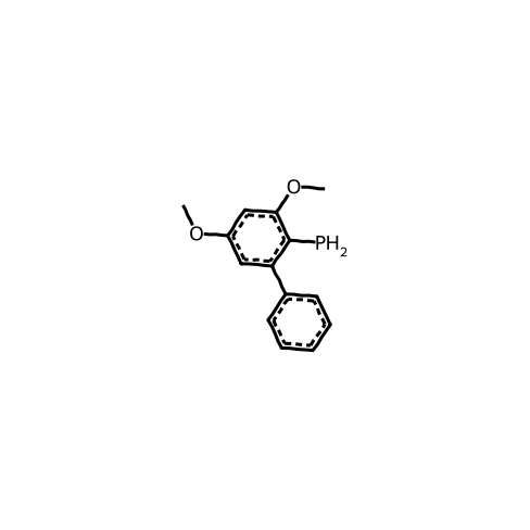 COc1cc(OC)c(P)c(-c2ccccc2)c1